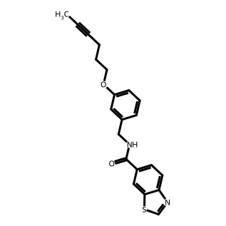 CC#CCCCOc1cccc(CNC(=O)c2ccc3ncsc3c2)c1